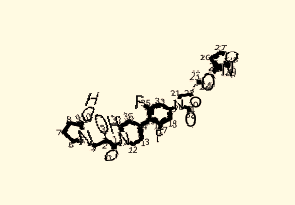 O=C([C@@H](O)CN1CCCC1O)N1CC=C(c2c(F)cc(N3C[C@H](COc4ccon4)OC3=O)cc2F)CC1